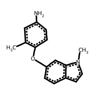 Cc1cc(N)ccc1Oc1ccc2ccn(C)c2c1